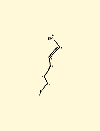 [CH2]CC/C=C/CCCF